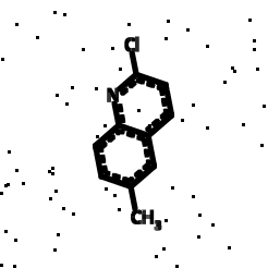 Cc1ccc2nc(Cl)ccc2c1